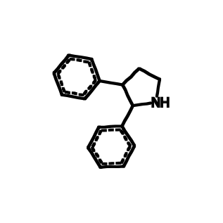 c1ccc(C2CCNC2c2ccccc2)cc1